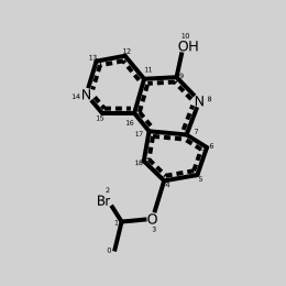 CC(Br)Oc1ccc2nc(O)c3ccncc3c2c1